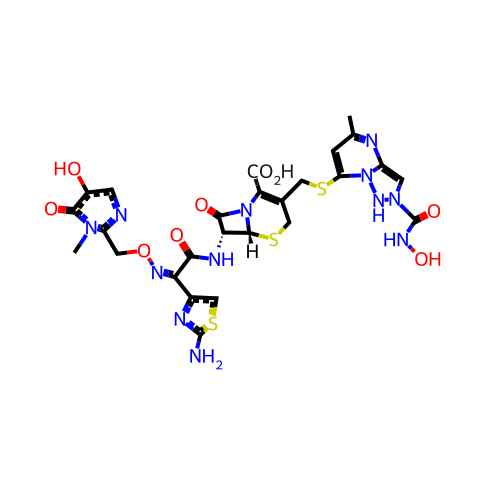 CC1=NC2=CN(C(=O)NO)NN2C(SCC2=C(C(=O)O)N3C(=O)[C@@H](NC(=O)/C(=N\OCc4ncc(O)c(=O)n4C)c4csc(N)n4)[C@H]3SC2)=C1